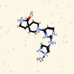 Cn1cc(Nc2nccc(N3CCC4(CCNC4=O)CC3)n2)cn1